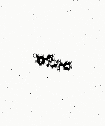 CN(Cc1nnc(-c2ccncc2)n1C)n1nccc1-c1cccc(Cl)c1